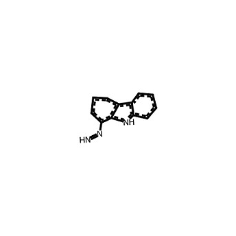 N=Nc1cccc2c1[nH]c1ccccc12